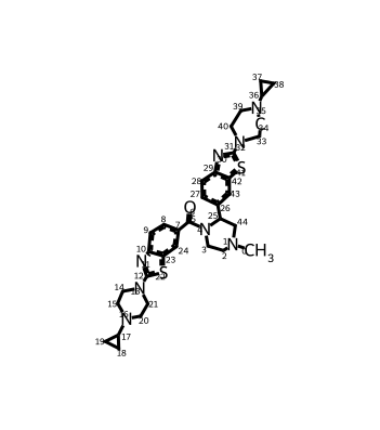 CN1CCN(C(=O)c2ccc3nc(N4CCN(C5CC5)CC4)sc3c2)C(c2ccc3nc(N4CCN(C5CC5)CC4)sc3c2)C1